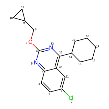 Clc1ccc2nc(OCC3CC3)nc(C3CCCCC3)c2c1